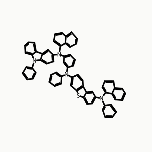 c1ccc(N(c2cccc(N(c3ccc4c(c3)c3ccccc3n4-c3ccccc3)c3cccc4ccccc34)c2)c2ccc3c(c2)sc2ccc(N(c4ccccc4)c4cccc5ccccc45)cc23)cc1